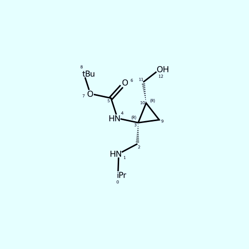 CC(C)NC[C@@]1(NC(=O)OC(C)(C)C)C[C@H]1CO